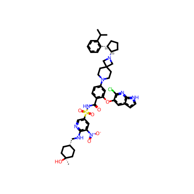 CC(C)c1ccccc1[C@@H]1CCC[C@@H]1N1CC2(CCN(c3ccc(C(=O)NS(=O)(=O)c4cnc(NC[C@H]5CC[C@](C)(O)CC5)c([N+](=O)[O-])c4)c(Oc4cc5cc[nH]c5nc4Cl)c3)CC2)C1